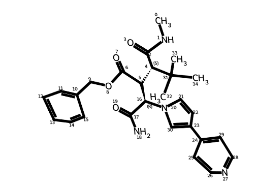 CNC(=O)[C@@H](C(C(=O)OCc1ccccc1)[C@H](C(N)=O)n1ccc(-c2ccncc2)c1)C(C)(C)C